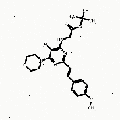 COc1ccc(C=Cc2nc(NCC(=O)OC(C)(C)C)c(N)c(N3CCOCC3)n2)cc1